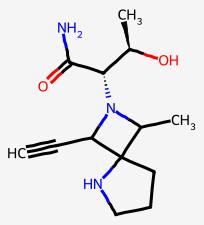 C#CC1N([C@H](C(N)=O)[C@@H](C)O)C(C)C12CCCN2